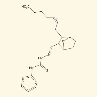 O=C(O)CCC/C=C\CC1C2CCC(O2)C1C=NNC(=S)Nc1ccccc1